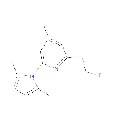 Cc1cc(CCF)nc(-n2c(C)ccc2C)c1